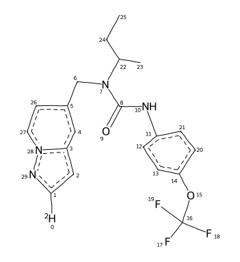 [2H]c1cc2cc(CN(C(=O)Nc3ccc(OC(F)(F)F)cc3)C(C)CC)ccn2n1